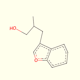 CC(CO)Cc1coc2ccccc12